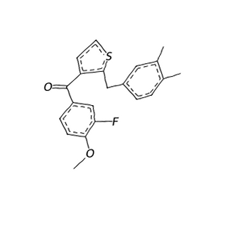 COc1ccc(C(=O)c2ccsc2Cc2ccc(C)c(C)c2)cc1F